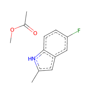 COC(C)=O.Cc1cc2cc(F)ccc2[nH]1